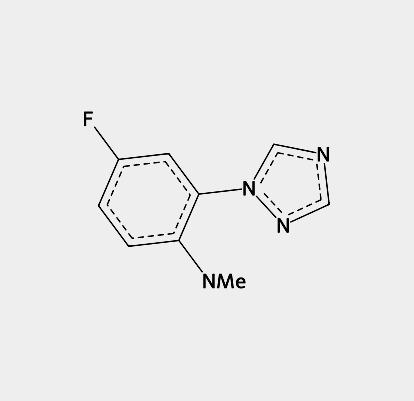 CNc1ccc(F)cc1-n1cncn1